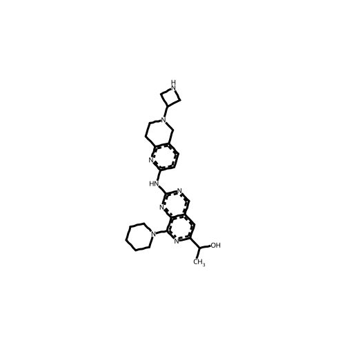 CC(O)c1cc2cnc(Nc3ccc4c(n3)CCN(C3CNC3)C4)nc2c(N2CCCCC2)n1